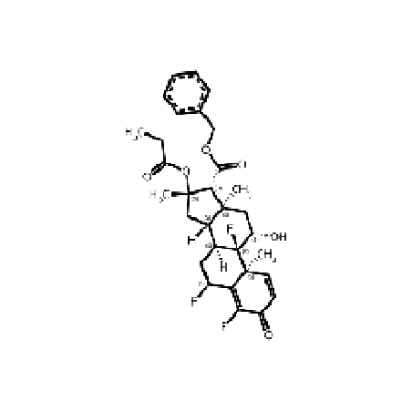 CCC(=O)O[C@@]1(C)C[C@H]2[C@@H]3C[C@H](F)C4=C(F)C(=O)C=C[C@]4(C)[C@@]3(F)[C@@H](O)C[C@]2(C)[C@H]1C(=O)OCc1ccccc1